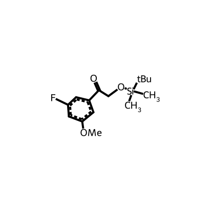 COc1cc(F)cc(C(=O)CO[Si](C)(C)C(C)(C)C)c1